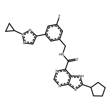 O=C(NCc1cc(F)cc(-c2cnn(C3CC3)n2)c1)c1ncnc2nc(C3CCCC3)[nH]c12